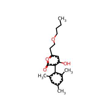 CCCCOCCc1cc(O)c(-c2c(C)cc(C)cc2C)c(=O)o1